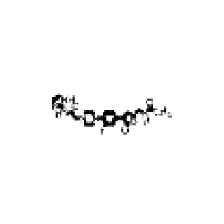 CC(=O)NCn1cc(-c2ccc(N3CCN(CC(=O)Nc4ncc[nH]4)CC3)c(F)c2)c(=O)o1